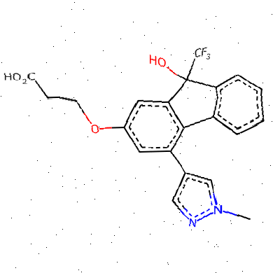 Cn1cc(-c2cc(OCCC(=O)O)cc3c2-c2ccccc2C3(O)C(F)(F)F)cn1